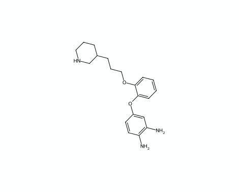 Nc1ccc(Oc2ccccc2OCCCC2CCCNC2)cc1N